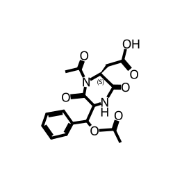 CC(=O)OC(c1ccccc1)C1NC(=O)[C@H](CC(=O)O)N(C(C)=O)C1=O